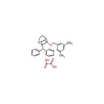 Cc1cc(C)cc(COC2C3CCN(CC3)C2C(c2ccccc2)c2ccccc2)c1.O=C(O)C(=O)O